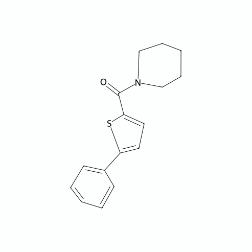 O=C(c1ccc(-c2ccccc2)s1)N1CCCCC1